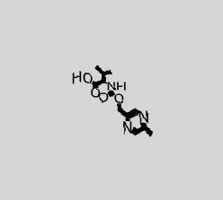 Cc1cnc(COC(=O)N[C@H](C(=O)O)C(C)C)cn1